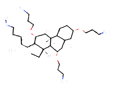 CCCCNCCC[C@@H](C)[C@H]1CC[C@H]2[C@@H]3[C@H](OCCCN)C[C@@H]4C[C@H](OCCCN)CC[C@]4(C)[C@H]3C[C@H](OCCCN)[C@]12C